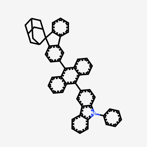 c1ccc(-n2c3ccccc3c3cc(-c4c5ccccc5c(-c5ccc6c(c5)-c5ccccc5C65C6CC7CC(C6)CC5C7)c5ccccc45)ccc32)cc1